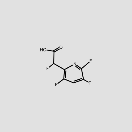 O=C(O)C(F)c1nc(F)c(F)cc1F